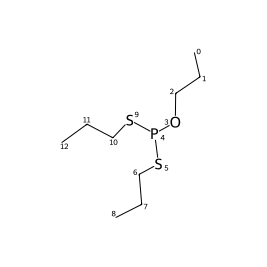 CCCOP(SCCC)SCCC